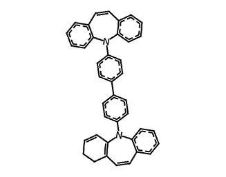 C1=CC2=C(C=Cc3ccccc3N2c2ccc(-c3ccc(N4c5ccccc5C=Cc5ccccc54)cc3)cc2)CC1